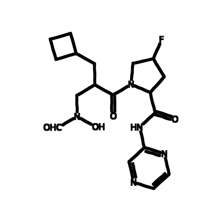 O=CN(O)CC(CC1CCC1)C(=O)N1CC(F)CC1C(=O)Nc1cnccn1